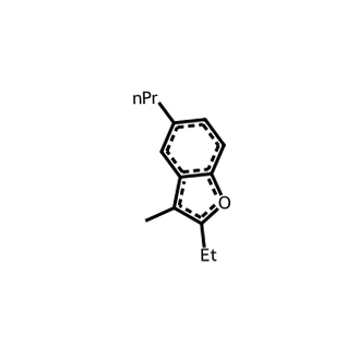 CCCc1ccc2oc(CC)c(C)c2c1